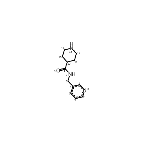 O=C(NCc1cccnc1)C1CCNCC1